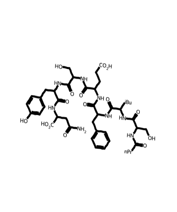 CCCC(=O)NC(CO)C(=O)NC(C(=O)NC(Cc1ccccc1)C(=O)NC(CCC(=O)O)C(=O)NC(CO)C(=O)NC(Cc1ccc(O)cc1)C(=O)NC(CC(N)=O)C(=O)O)C(C)CC